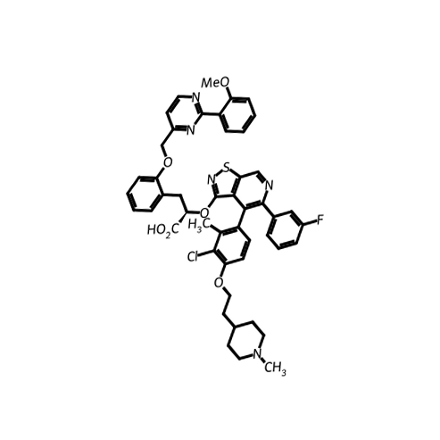 COc1ccccc1-c1nccc(COc2ccccc2C[C@@H](Oc2nsc3cnc(-c4cccc(F)c4)c(-c4ccc(OCCC5CCN(C)CC5)c(Cl)c4C)c23)C(=O)O)n1